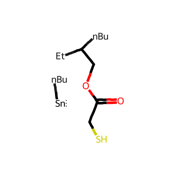 CCCCC(CC)COC(=O)CS.CCC[CH2][Sn]